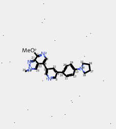 COc1ncc(-c2cncc(-c3ccc(N4CCCC4)cc3)c2)c2cn(C)nc12